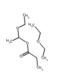 CCOC(C)OC(=O)CC.CCOCC